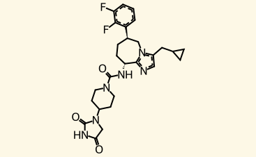 O=C1CN(C2CCN(C(=O)N[C@@H]3CC[C@@H](c4cccc(F)c4F)Cn4c(CC5CC5)cnc43)CC2)C(=O)N1